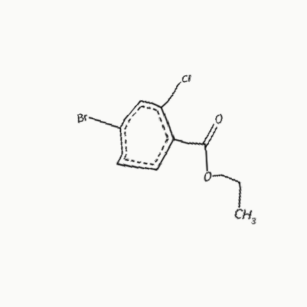 CCOC(=O)c1ccc(Br)cc1Cl